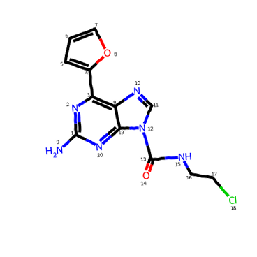 Nc1nc(-c2ccco2)c2ncn(C(=O)NCCCl)c2n1